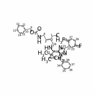 CC/C(=C\CNC(=O)OCc1ccccc1)CN[C@@H](c1nc(-c2cc(F)ccc2F)nn1Cc1ccccc1)C(C)(C)C